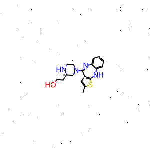 Cc1cc2c(s1)Nc1ccccc1N=C2N1CCN[C@H](CCO)C1